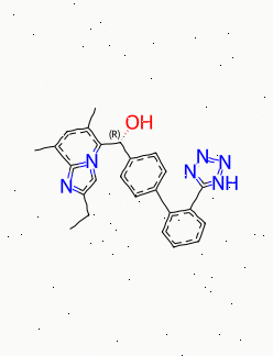 CCc1cn2c([C@H](O)c3ccc(-c4ccccc4-c4nnn[nH]4)cc3)c(C)cc(C)c2n1